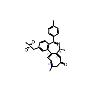 C\C1=C/C=C2\C(=C/C(=O)C1)[C@H](C)N=C(c1ccc(C)cc1)c1ccc(CS(C)(=O)=O)cc12